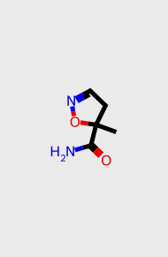 CC1(C(N)=O)CC=NO1